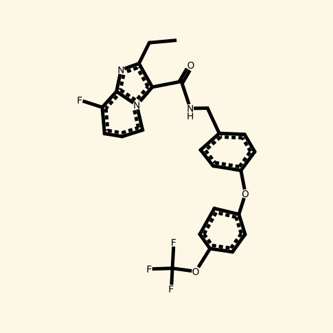 CCc1nc2c(F)cccn2c1C(=O)NCc1ccc(Oc2ccc(OC(F)(F)F)cc2)cc1